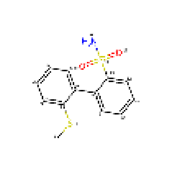 CSc1ccccc1-c1ccccc1S(N)(=O)=O